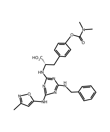 Cc1cc(Nc2nc(NCc3ccccc3)nc(N[C@@H](Cc3ccc(OC(=O)N(C)C)cc3)C(=O)O)n2)on1